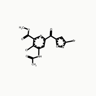 COC(=O)c1nc(C(=O)c2cc(Br)no2)cc(NC(C)=O)c1Cl